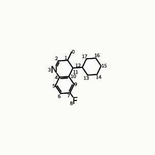 CC1C=Nc2ccc(F)cc2C1C1CCCCC1